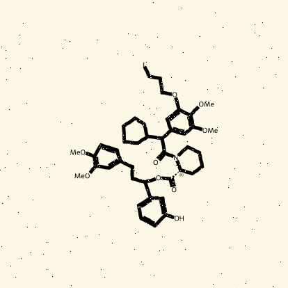 COc1ccc(CCC(OC(=O)[C@H]2CCCCN2C(=O)C(c2cc(OC)c(OC)c(OCCCI)c2)C2CCCCC2)c2cccc(O)c2)cc1OC